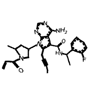 C=CC(=O)N1CC(n2c(C#CC)c(C(=O)NC(C)c3ccccc3F)c3c(N)ncnc32)CC1C